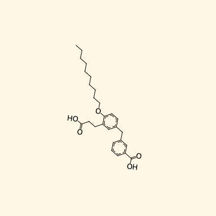 CCCCCCCCCCOc1ccc(Cc2cccc(C(=O)O)c2)cc1CCC(=O)O